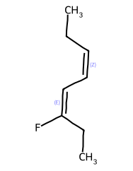 CC/C=C\C=C(\F)CC